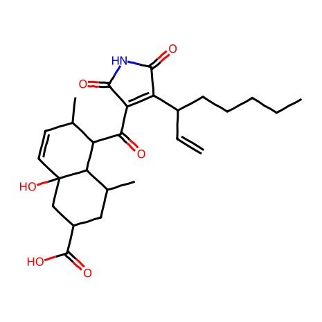 C=CC(CCCCC)C1=C(C(=O)C2C(C)C=CC3(O)CC(C(=O)O)CC(C)C23)C(=O)NC1=O